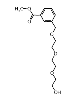 COC(=O)c1cccc(COCCOCCOCCO)c1